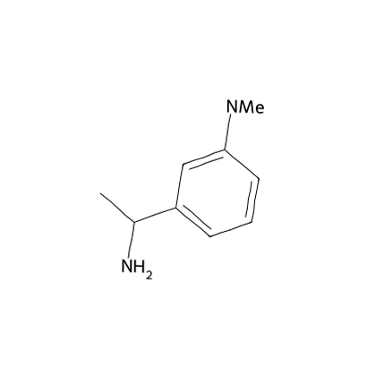 CNc1cccc(C(C)N)c1